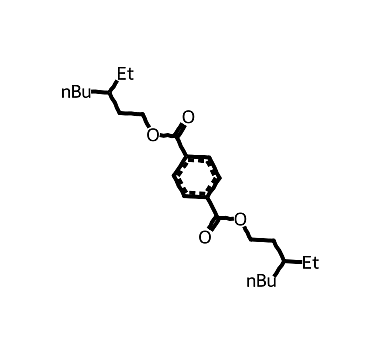 CCCCC(CC)CCOC(=O)c1ccc(C(=O)OCCC(CC)CCCC)cc1